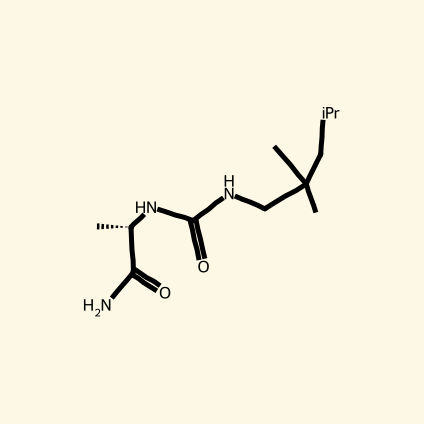 CC(C)CC(C)(C)CNC(=O)N[C@@H](C)C(N)=O